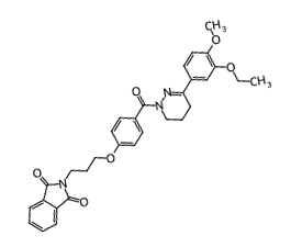 CCOc1cc(C2=NN(C(=O)c3ccc(OCCCN4C(=O)c5ccccc5C4=O)cc3)CCC2)ccc1OC